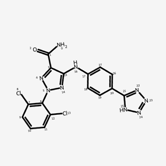 NC(=O)c1nn(-c2c(Cl)cccc2Cl)nc1Nc1ccc(-c2nnn[nH]2)cc1